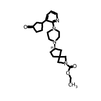 CCOC(=O)N1CC2(CC[C@@H](N3CCN(c4ncccc4C4CCC(=O)C4)CC3)C2)C1